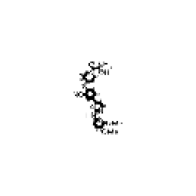 COc1ccc(Nc2nccc(-c3ccc(OC4CCN(C(=O)C(C)O)CC4(F)F)c(C#N)c3)n2)nc1OC